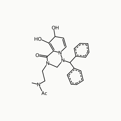 CC(=O)N(C)CCN1CN(C(c2ccccc2)c2ccccc2)N2C=CC(O)C(O)=C2C1=O